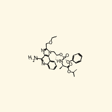 CCOCc1nc2c(N)nc3ccccc3c2n1C[C@@H](C)OP(=O)(N[C@H](C)C(=O)OC(C)C)Oc1ccccc1